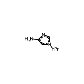 CCCn1cnc(N)c1